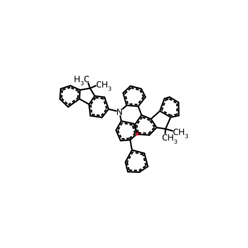 CC1(C)c2ccccc2-c2ccc(N(c3ccc(-c4ccccc4)cc3)c3ccccc3-c3cccc4c3-c3ccccc3C4(C)C)cc21